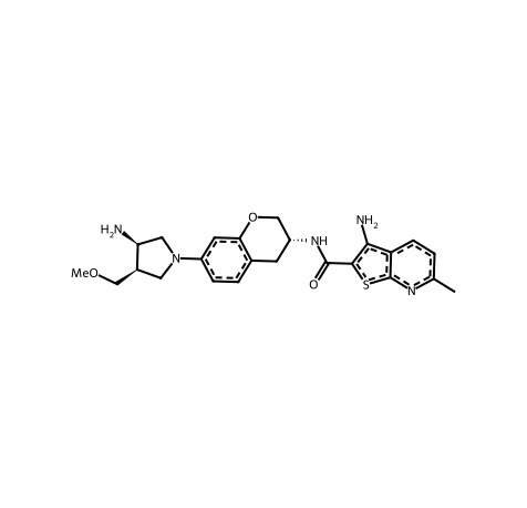 COC[C@@H]1CN(c2ccc3c(c2)OC[C@H](NC(=O)c2sc4nc(C)ccc4c2N)C3)C[C@@H]1N